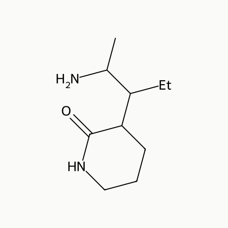 CCC(C(C)N)C1CCCNC1=O